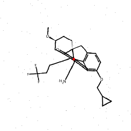 CO[C@H]1CC[C@]2(CC1)Cc1ccc(OCC3CC3)cc1C21N=C(N)N(CCC(F)(F)F)C1=O